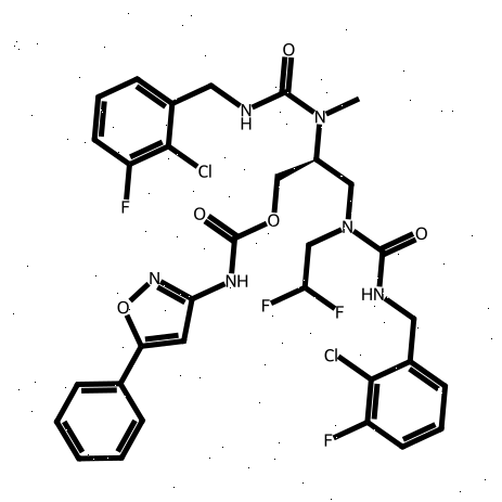 CN(C(=O)NCc1cccc(F)c1Cl)[C@H](COC(=O)Nc1cc(-c2ccccc2)on1)CN(CC(F)F)C(=O)NCc1cccc(F)c1Cl